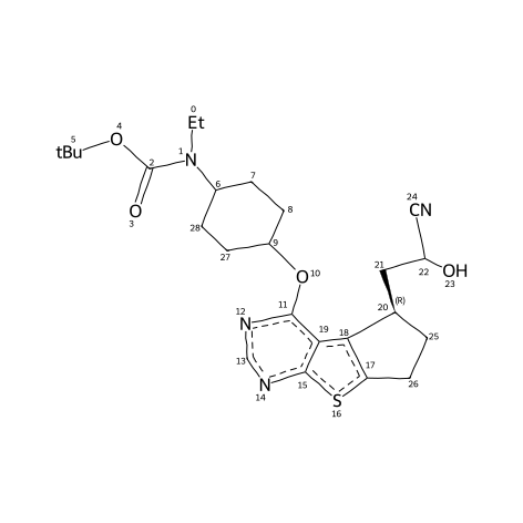 CCN(C(=O)OC(C)(C)C)C1CCC(Oc2ncnc3sc4c(c23)[C@@H](CC(O)C#N)CC4)CC1